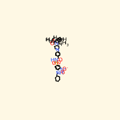 CC(=O)N(C1CCN(c2ccc(C(=O)NS(=O)(=O)c3ccc(NCC4CCCCC4)c([N+](=O)[O-])c3)cc2)CC1)[C@@H]1C[C@@H]2C[C@H]([C@H]1C)C2(C)C